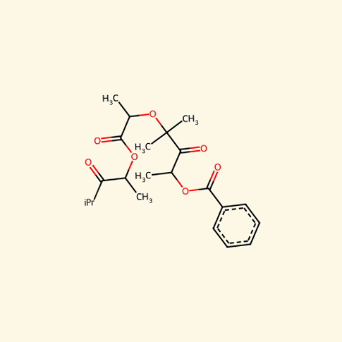 CC(C)C(=O)C(C)OC(=O)C(C)OC(C)(C)C(=O)C(C)OC(=O)c1ccccc1